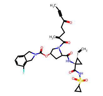 C=C[C@@H]1C[C@]1(NC(=O)C1C[C@@H](OC(=O)N2Cc3cccc(F)c3C2)CN1C(=O)C(=C)CCC(=O)C#CC)C(=O)NS(=O)(=O)C1CC1